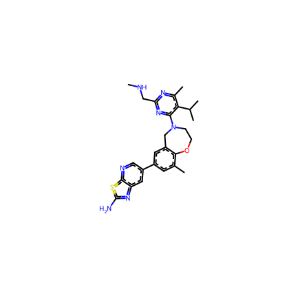 CNCc1nc(C)c(C(C)C)c(N2CCOc3c(C)cc(-c4cnc5sc(N)nc5c4)cc3C2)n1